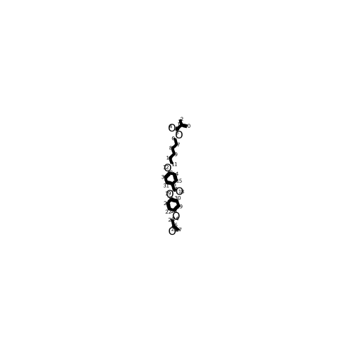 C=C(C)C(=O)OCCCCCCOc1ccc(C(=O)Oc2ccc(OCC3CO3)cc2)cc1